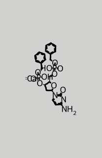 Nc1ccn([C@H]2C[C@H](OP(=O)(O)OCc3ccccc3)[C@@H](COP(=O)(O)OCc3ccccc3)O2)c(=O)n1.[Ca]